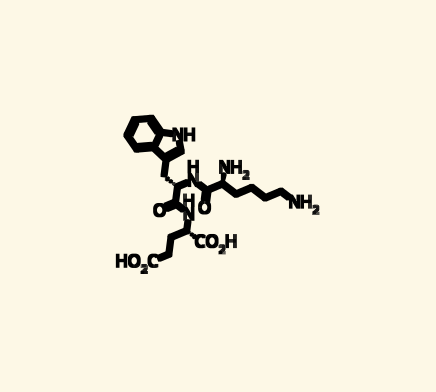 NCCCC[C@H](N)C(=O)N[C@@H](Cc1c[nH]c2ccccc12)C(=O)N[C@@H](CCC(=O)O)C(=O)O